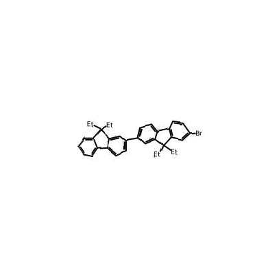 CCC1(CC)c2ccccc2-c2ccc(-c3ccc4c(c3)C(CC)(CC)c3cc(Br)ccc3-4)cc21